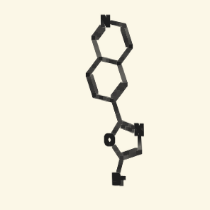 Brc1cnc(C2=CC3C=CN=CC3C=C2)o1